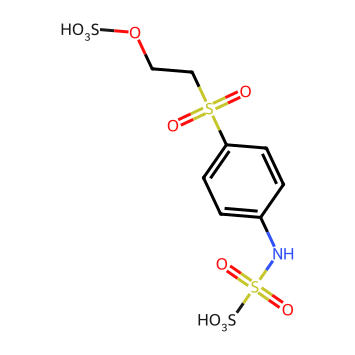 O=S(=O)(O)OCCS(=O)(=O)c1ccc(NS(=O)(=O)S(=O)(=O)O)cc1